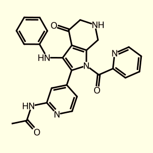 CC(=O)Nc1cc(-c2c(Nc3ccccc3)c3c(n2C(=O)c2ccccn2)CNCC3=O)ccn1